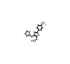 OCc1sc(-c2ccc(C(F)(F)F)cc2)nc1CN1CCCC1